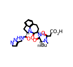 CC[C@H](C)[C@@H](C(=O)N[C@H]1CCc2cccc3c2N(C1=O)[C@H](C(=O)NCC1=CCN=N1)C3)N(C)C(=O)CC(=O)O